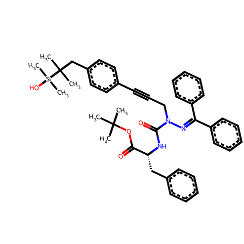 CC(C)(C)OC(=O)[C@@H](Cc1ccccc1)NC(=O)N(CC#Cc1ccc(CC(C)(C)[Si](C)(C)O)cc1)N=C(c1ccccc1)c1ccccc1